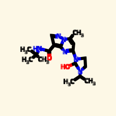 Cc1cc(N2CCN(C(C)C)C2O)nc2c(C(=O)NC(C)(C)C)cnn12